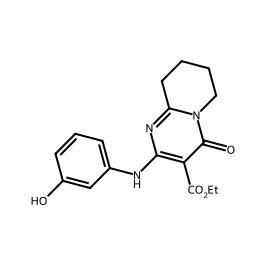 CCOC(=O)c1c(Nc2cccc(O)c2)nc2n(c1=O)CCCC2